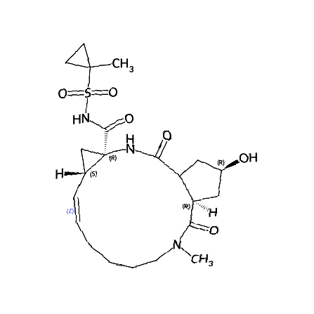 CN1CCCC/C=C\[C@@H]2C[C@@]2(C(=O)NS(=O)(=O)C2(C)CC2)NC(=O)C2C[C@@H](O)C[C@H]2C1=O